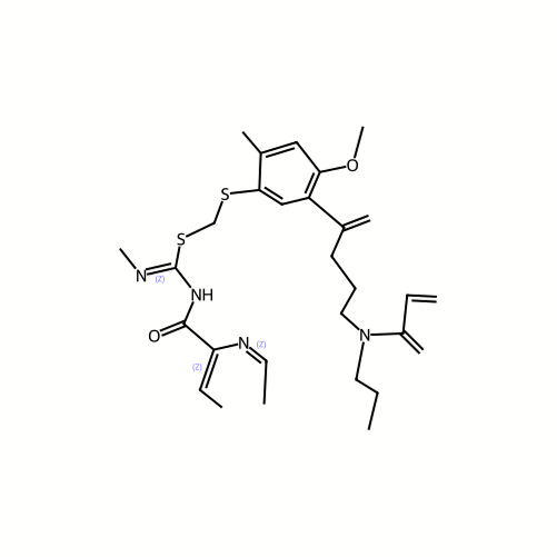 C=CC(=C)N(CCC)CCCC(=C)c1cc(SCS/C(=N\C)NC(=O)C(=C/C)/N=C\C)c(C)cc1OC